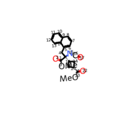 COC(=O)C(Cc1cccc2ccccc12)(N=C=O)[C@H]1C[C@@H](C(=O)OC)C1